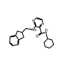 O=C(NC1CCCCC1)c1nccnc1NCC1Cc2ccccc2C1